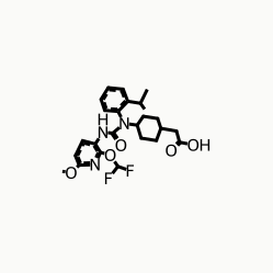 COc1ccc(NC(=O)N(c2ccccc2C(C)C)C2CCC(CC(=O)O)CC2)c(OC(F)F)n1